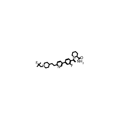 C=C(c1ccc(-c2ccc(CCC3CCN(CC(C)(C)F)CC3)nc2)cc1F)N1CCCCC1C(N)=O